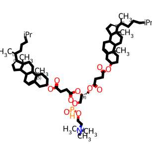 CC(C)CCC[C@H](C)[C@@H]1CCC2C3CC=C4CC(OC(=O)CCC(=O)OC[C@H](CO[PH](=O)OCC[N+](C)(C)C)OC(=O)CCC(=O)OC5CC[C@]6(C)C(=CCC7C6CC[C@]6(C)C7CC[C@H]6[C@@H](C)CCCC(C)C)C5)CC[C@@]4(C)C3CC[C@]21C